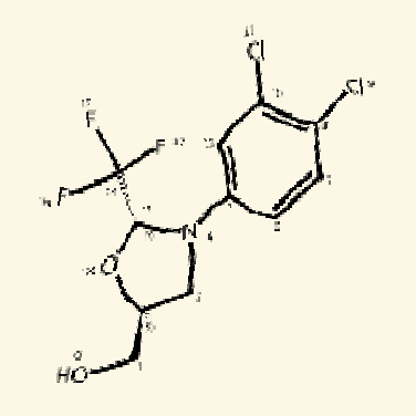 OC[C@@H]1CN(c2ccc(Cl)c(Cl)c2)[C@@H](C(F)(F)F)O1